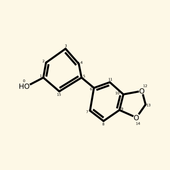 Oc1cc[c]c(-c2ccc3c(c2)OCO3)c1